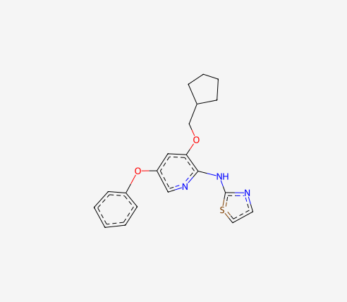 c1ccc(Oc2cnc(Nc3nccs3)c(OCC3CCCC3)c2)cc1